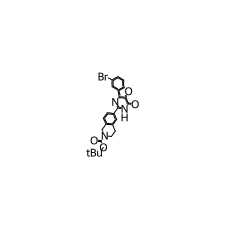 CC(C)(C)OC(=O)N1CCc2cc(-c3nc4c(oc5ccc(Br)cc54)c(=O)[nH]3)ccc2C1